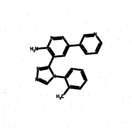 Cc1ccccc1-n1cnnc1-c1cc(-c2cccnc2)cnc1N